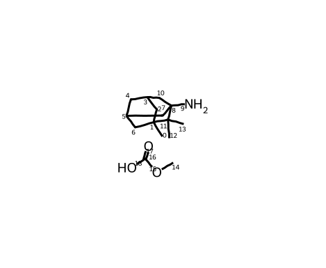 CC12CC3CC(C1)CC(N)(C3)C2(C)C.COC(=O)O